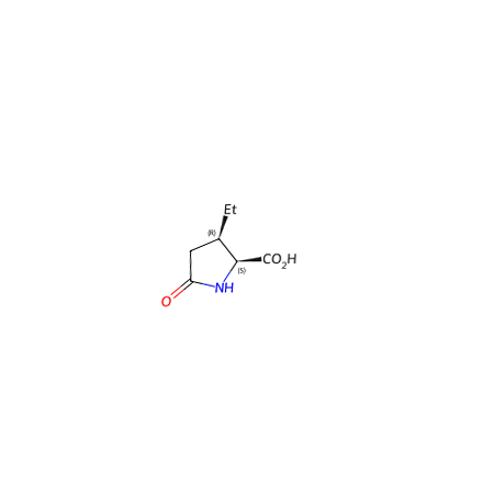 CC[C@@H]1CC(=O)N[C@@H]1C(=O)O